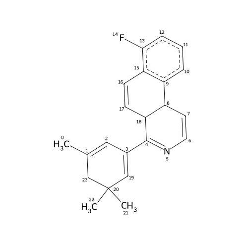 CC1=CC(C2=NC=CC3c4cccc(F)c4C=CC23)=CC(C)(C)C1